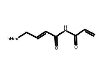 C=CC(=O)NC(=O)C=CCCCCCCC